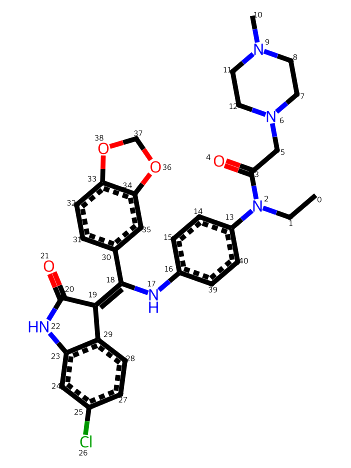 CCN(C(=O)CN1CCN(C)CC1)c1ccc(NC(=C2C(=O)Nc3cc(Cl)ccc32)c2ccc3c(c2)OCO3)cc1